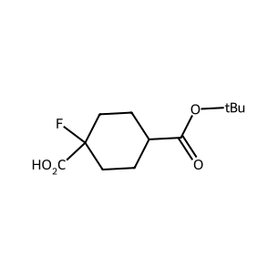 CC(C)(C)OC(=O)C1CCC(F)(C(=O)O)CC1